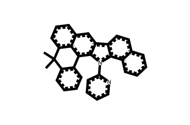 CC1(C)c2ccccc2-c2c3c1cccc3cc1c3ccc4ccccc4c3n(-c3ccccn3)c21